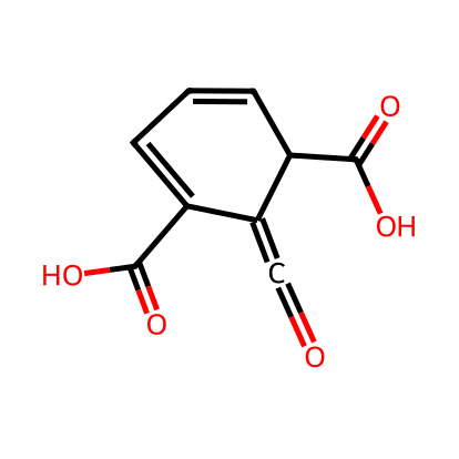 O=C=C1C(C(=O)O)=CC=CC1C(=O)O